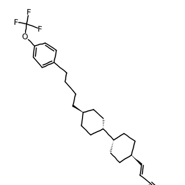 N#CC=C[C@H]1CC[C@H]([C@H]2CC[C@H](CCCCc3ccc(OC(F)(F)F)cc3)CC2)CC1